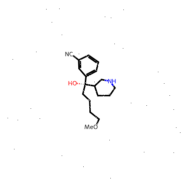 COCCCC[C@@](O)(c1cccc(C#N)c1)C1CCCNC1